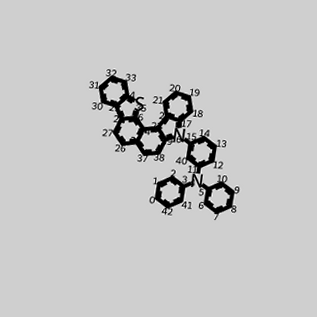 c1ccc(N(c2ccccc2)c2cccc(-n3c4ccccc4c4c5c(ccc6c7ccccc7sc65)ccc43)c2)cc1